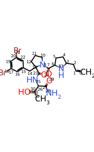 C=CCC1CCC(C(=O)N2CCCC2(Cc2cc(Br)cc(Br)c2)C(=O)NC(C(N)=O)[C@@H](C)O)N1